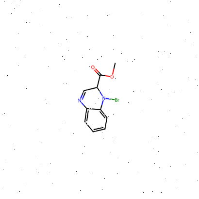 COC(=O)C1C=Nc2ccccc2N1Br